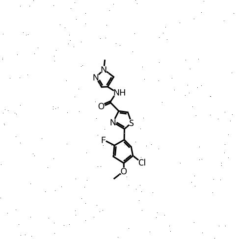 COc1cc(F)c(-c2nc(C(=O)Nc3cnn(C)c3)cs2)cc1Cl